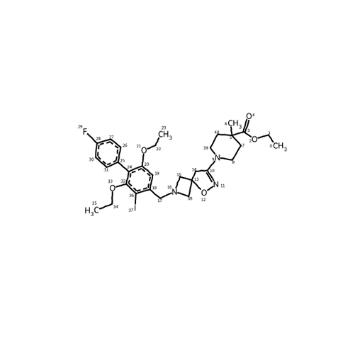 CCOC(=O)C1(C)CCN(C2=NOC3(C2)CN(Cc2cc(OCC)c(-c4ccc(F)cc4)c(OCC)c2I)C3)CC1